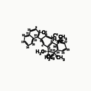 Cc1c2c(cc3c1oc1ccc4ccccc4c13)C(C)(C)C(C)(C)c1ccc[n+](C)c1-2